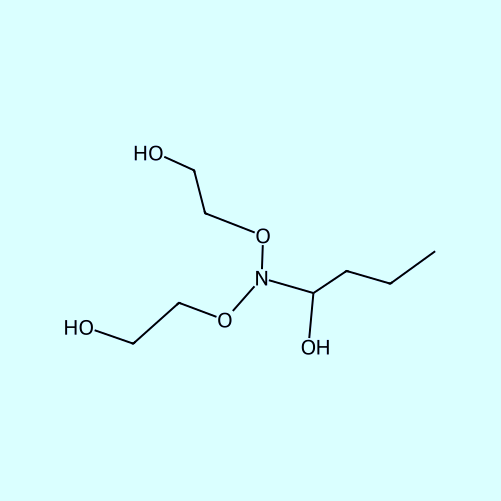 CCCC(O)N(OCCO)OCCO